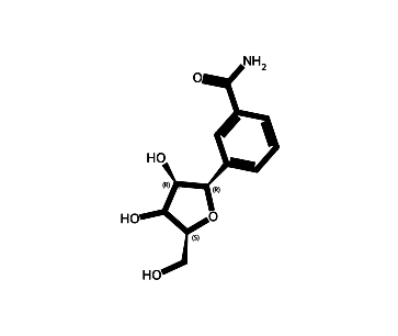 NC(=O)c1cccc([C@H]2O[C@@H](CO)C(O)[C@H]2O)c1